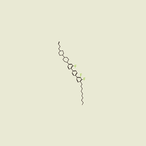 C=CCCC1CCC(C2CCC(c3ccc(-c4ccc(-c5ccc(CCCCCCCCCC)c(F)c5F)cc4)c(F)c3)CC2)CC1